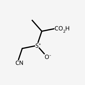 CC(C(=O)O)[S+]([O-])CC#N